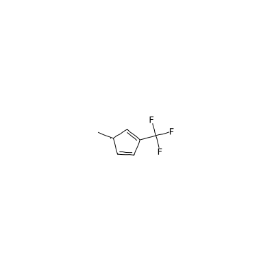 C[C]1C=CC(C(F)(F)F)=C1